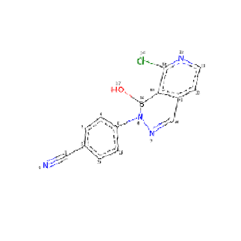 N#Cc1ccc(N2N=Cc3ccnc(Cl)c3B2O)cc1